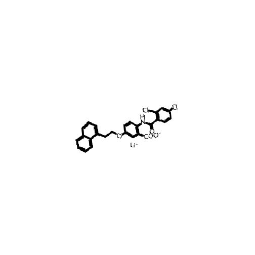 O=C(Nc1ccc(OCCc2cccc3ccccc23)cc1C(=O)[O-])c1ccc(Cl)cc1Cl.[Li+]